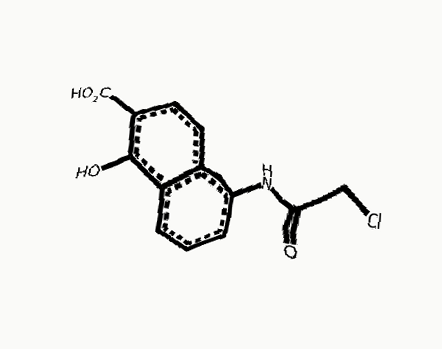 O=C(CCl)Nc1cccc2c(O)c(C(=O)O)ccc12